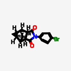 O=C1[C@@H]2[C@@H]3CC[C@@H]([C@@H]4C[C@@H]43)[C@@H]2C(=O)N1c1ccc(Br)cc1